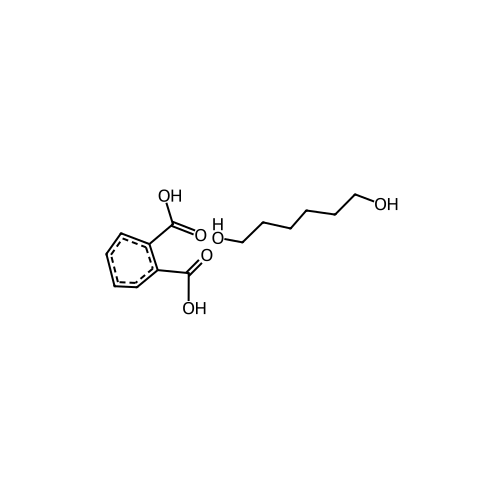 O=C(O)c1ccccc1C(=O)O.OCCCCCCO